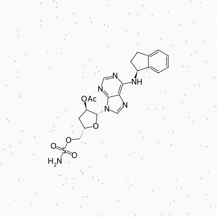 CC(=O)O[C@@H]1C[C@@H](COS(N)(=O)=O)O[C@H]1n1cnc2c(N[C@H]3CCc4ccccc43)ncnc21